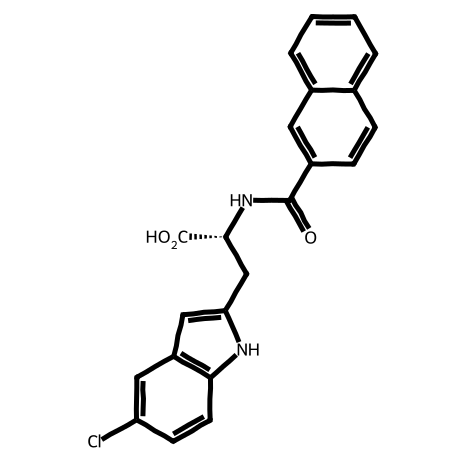 O=C(N[C@H](Cc1cc2cc(Cl)ccc2[nH]1)C(=O)O)c1ccc2ccccc2c1